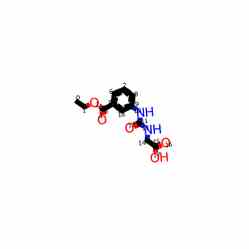 CCOC(=O)c1cccc(NC(=O)NCC(=O)O)c1